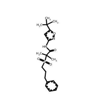 CC(C)(C)c1cc(NC(=O)C(C)(C)S(=O)(=O)CCCc2ccccc2)no1